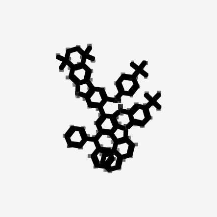 CC(C)(C)c1ccc(Nc2cc3c(cc2-c2cc(C(c4ccccc4)c4ccccc4)c4c5c6ccccc6ccc5n5c4c2Bc2cc(C(C)(C)C)ccc2-5)oc2cc4c(cc23)C(C)(C)CCC4(C)C)cc1